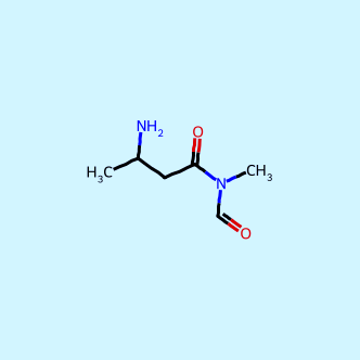 CC(N)CC(=O)N(C)C=O